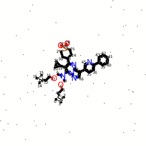 C[Si](C)(C)CCOCN(COCC[Si](C)(C)C)c1c(C2CC2)c(C2CCS(=O)(=O)CC2)nc2c(-c3ccc(-c4ccccc4)nc3)cnn12